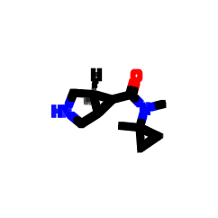 CN(C(=O)C1C2CNC[C@H]21)C1(C)CC1